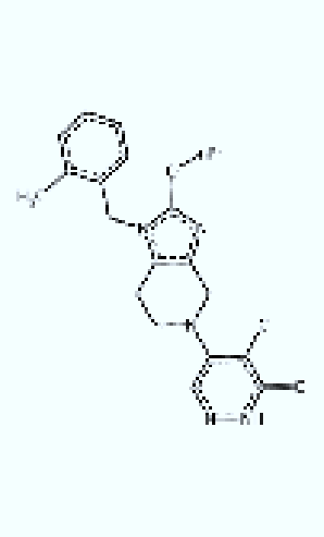 CCCOc1nc2c(n1Cc1ccccc1C)CCN(c1cn[nH]c(=O)c1Cl)C2